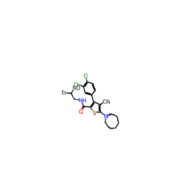 CCC(CNC(=O)c1sc(N2CCCCCC2)c(C#N)c1-c1ccc(Cl)c(Cl)c1)N=O